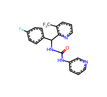 O=C(Nc1cccnc1)NC(c1ccc(F)cc1)c1ncccc1C(F)(F)F